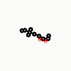 c1ccc2cc(-c3c4ccccc4c(-c4ccc(-c5ccc6c(c5)oc5cc7oc8ccc9ccccc9c8c7cc56)cc4)c4ccccc34)ccc2c1